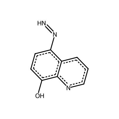 N=Nc1ccc(O)c2ncccc12